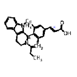 C=C(CC)N1CCc2c(n(C)c3ccccc23)[C@H]1c1c(F)cc(/C=C/C(=O)O)cc1F